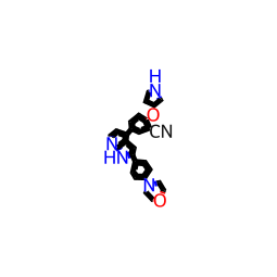 N#Cc1cc(-c2ccnc3[nH]c(-c4ccc(N5CCOCC5)cc4)cc23)ccc1O[C@@H]1CCNC1